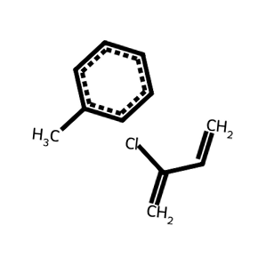 C=CC(=C)Cl.Cc1ccccc1